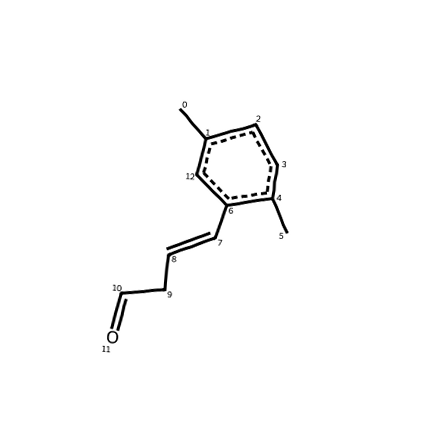 Cc1ccc(C)c(C=CCC=O)c1